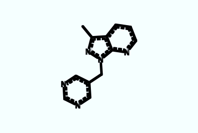 Cc1nn(Cc2cncnc2)c2ncccc12